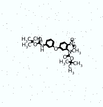 CN(C(=O)OC(C)(C)C)c1cc(Oc2cccc(NC(=O)OC(C)(C)C)c2)ccc1[N+](=O)[O-]